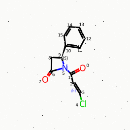 O=C(/C=C/Cl)N1C(=O)C[C@H]1c1ccccc1